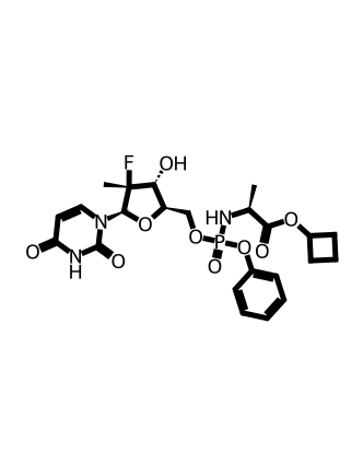 C[C@H](NP(=O)(OC[C@H]1O[C@@H](n2ccc(=O)[nH]c2=O)[C@](C)(F)[C@@H]1O)Oc1ccccc1)C(=O)OC1CCC1